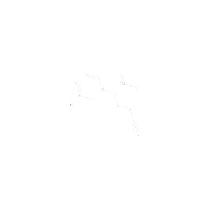 CC(F)(F)c1cccc(N(CCC#N)C(=O)CCl)c1